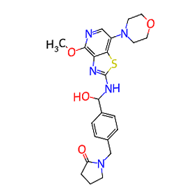 COc1ncc(N2CCOCC2)c2sc(NC(O)c3ccc(CN4CCCC4=O)cc3)nc12